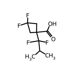 CC(C)C(F)(F)C1(C(=O)O)CC(F)(F)C1